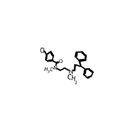 CN(CCC(c1ccccc1)c1ccccc1)CCN(C)C(=O)c1ccc(Cl)cc1